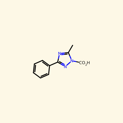 Cc1nc(-c2ccccc2)nn1C(=O)O